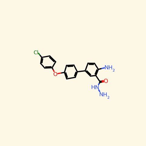 NNC(=O)c1cc(-c2ccc(Oc3ccc(Cl)cc3)cc2)ccc1N